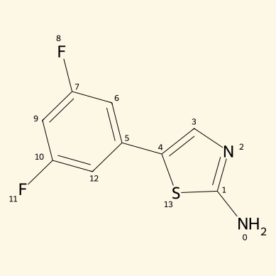 Nc1ncc(-c2cc(F)cc(F)c2)s1